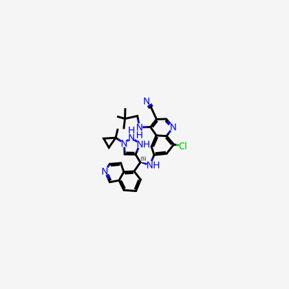 CC(C)(C)CNc1c(C#N)cnc2c(Cl)cc(N[C@H](C3=CN(C4(C)CC4)NN3)c3cccc4cnccc34)cc12